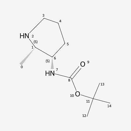 C[C@@H]1NCCC[C@@H]1NC(=O)OC(C)(C)C